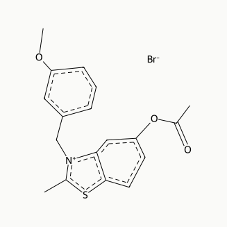 COc1cccc(C[n+]2c(C)sc3ccc(OC(C)=O)cc32)c1.[Br-]